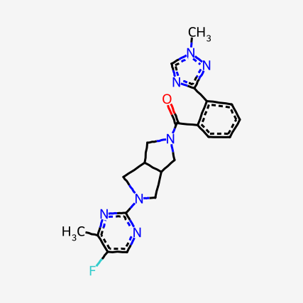 Cc1nc(N2CC3CN(C(=O)c4ccccc4-c4ncn(C)n4)CC3C2)ncc1F